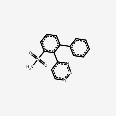 NS(=O)(=O)c1cccc(-c2ccccc2)c1-c1ccnnn1